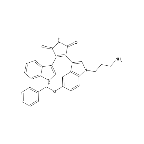 NCCCn1cc(C2=C(c3c[nH]c4ccccc34)C(=O)NC2=O)c2cc(OCc3ccccc3)ccc21